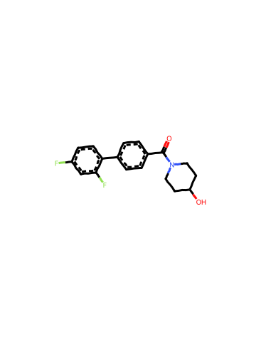 O=C(c1ccc(-c2ccc(F)cc2F)cc1)N1CCC(O)CC1